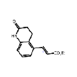 CCOC(=O)/C=C/c1cccc2c1CCC(=O)N2